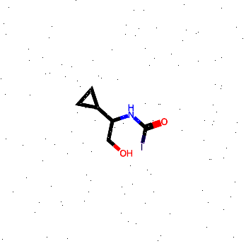 O=C(I)NC(CO)C1CC1